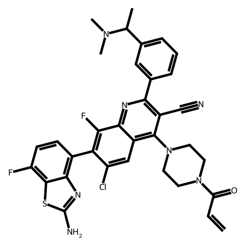 C=CC(=O)N1CCN(c2c(C#N)c(-c3cccc(C(C)N(C)C)c3)nc3c(F)c(-c4ccc(F)c5sc(N)nc45)c(Cl)cc23)CC1